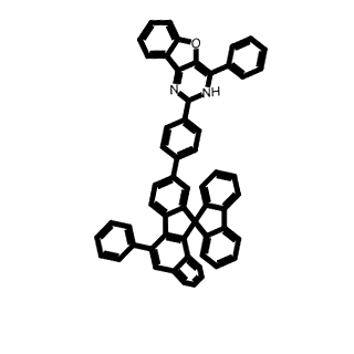 c1ccc(C2=c3oc4ccccc4c3=NC(c3ccc(-c4ccc5c(c4)C4(c6ccccc6-c6ccccc64)c4c-5c(-c5ccccc5)cc5ccccc45)cc3)N2)cc1